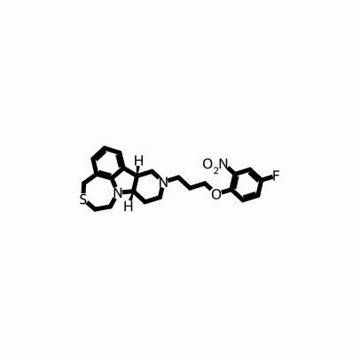 O=[N+]([O-])c1cc(F)ccc1OCCCN1CC[C@H]2[C@@H](C1)c1cccc3c1N2CCSC3